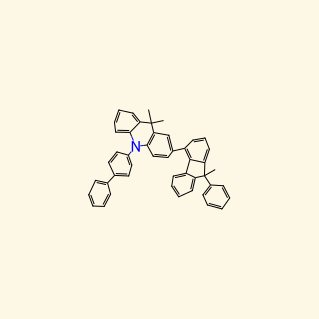 CC1(C)c2ccccc2N(c2ccc(-c3ccccc3)cc2)c2ccc(-c3cccc4c3-c3ccccc3C4(C)c3ccccc3)cc21